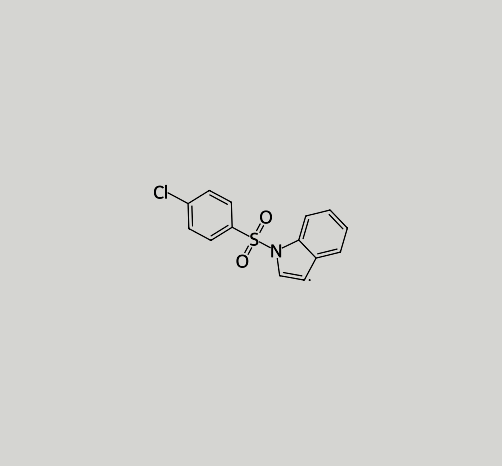 O=S(=O)(c1ccc(Cl)cc1)n1c[c]c2ccccc21